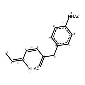 C=C(/C=C\C(=C/C)NC(C)=O)Cc1ccc(NC(C)=O)cc1